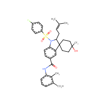 CC(C)=CCC1N(S(=O)(=O)c2ccc(F)cc2)c2ccc(C(=O)Nc3cccc(C(=O)O)c3C)cc2C12CCC(O)(C(F)(F)F)CC2